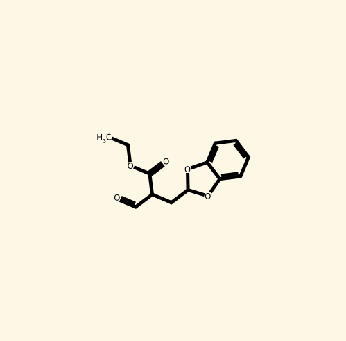 CCOC(=O)C(C=O)CC1Oc2ccccc2O1